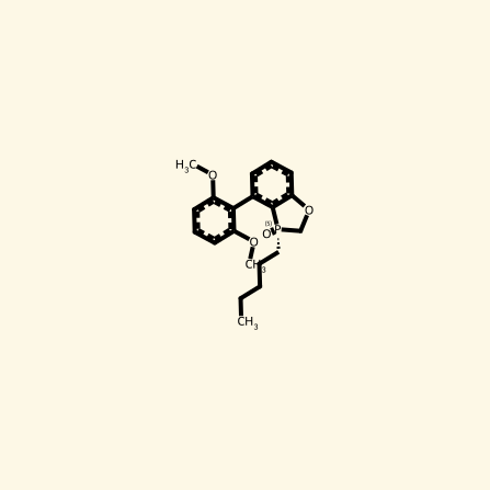 CCCCC[P@@]1(=O)COc2cccc(-c3c(OC)cccc3OC)c21